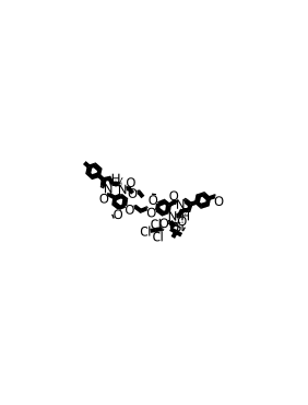 CCOC(=O)N1c2cc(OCCCOc3cc4c(cc3OC)C(=O)N3C=C(c5ccc(C=O)cc5)C[C@H]3[C@H](O[Si](C)(C)C(C)(C)C)N4C(=O)OCC(Cl)(Cl)Cl)c(OC)cc2C(=O)N2C=C(c3ccc(C)cc3)C[C@H]2[C@@H]1C